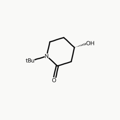 CC(C)(C)N1CC[C@H](O)CC1=O